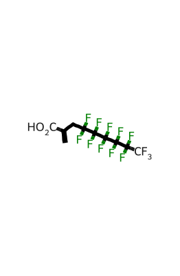 C=C(CC(F)(F)C(F)(F)C(F)(F)C(F)(F)C(F)(F)C(F)(F)F)C(=O)O